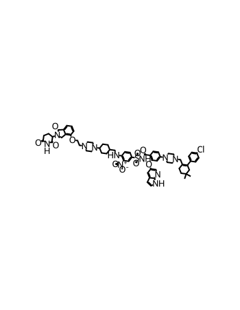 CC1(C)CCC(CN2CCN(c3ccc(C(=O)NS(=O)(=O)c4ccc(NCC5CCC(N6CCN(CCOc7cccc8c7CN(C7CCC(=O)NC7=O)C8=O)CC6)CC5)c([N+](=O)[O-])c4)c(Oc4cnc5[nH]ccc5c4)c3)CC2)=C(c2ccc(Cl)cc2)C1